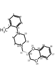 Cc1ccccc1N1CCN(C[C@H]2COc3ccccc3O2)CC1